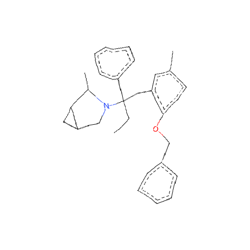 CCC(c1ccccc1)(c1cc(C)ccc1OCc1ccccc1)N1CC2CC2C1C